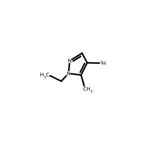 [2H]c1cnn(CC)c1C